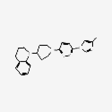 Cc1cn(-c2ccc(N3CCC(N4CCCc5ccccc54)CC3)nn2)cn1